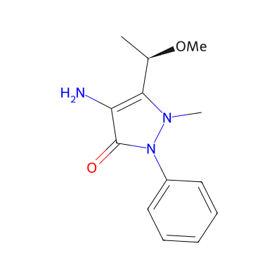 CO[C@H](C)c1c(N)c(=O)n(-c2ccccc2)n1C